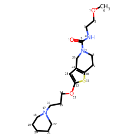 COCCNC(=O)N1CCc2sc(OCCCN3CCCCC3)cc2C1